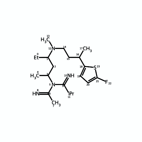 CCC(CC(C)N(C(C)=N)C(=N)C(C)C)N(C)CCC(C)c1ccc(F)s1